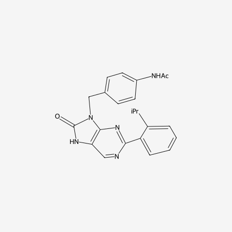 CC(=O)Nc1ccc(Cn2c(=O)[nH]c3cnc(-c4ccccc4C(C)C)nc32)cc1